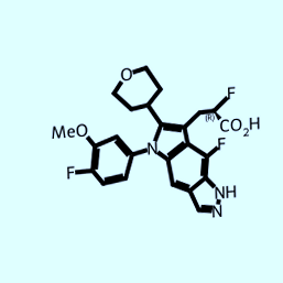 COc1cc(-n2c(C3CCOCC3)c(C[C@@H](F)C(=O)O)c3c(F)c4[nH]ncc4cc32)ccc1F